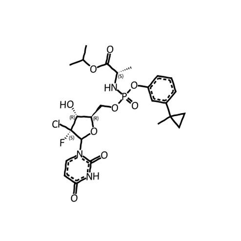 CC(C)OC(=O)[C@H](C)NP(=O)(OC[C@H]1OC(n2ccc(=O)[nH]c2=O)[C@@](F)(Cl)[C@@H]1O)Oc1cccc(C2(C)CC2)c1